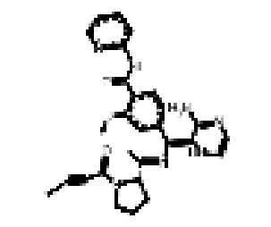 CC#CC(=O)N1CCC[C@H]1/C(C)=N/C(=C1\NC=CN=C1N)c1ccc(C(=O)Nc2ccccn2)c(OC)c1